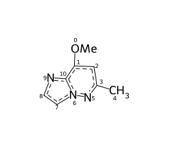 COc1cc(C)nn2ccnc12